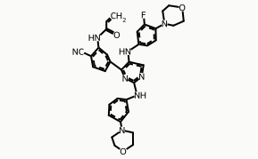 C=CC(=O)Nc1cc(-c2nc(Nc3cccc(N4CCOCC4)c3)ncc2Nc2ccc(N3CCOCC3)c(F)c2)ccc1C#N